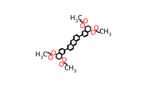 CCC(=O)OC1CCC(OC(=O)CC)c2cc(-c3ccc4cc5cc(-c6ccc7c(c6)C(OC(=O)CC)CCC7OC(=O)CC)ccc5cc4c3)ccc21